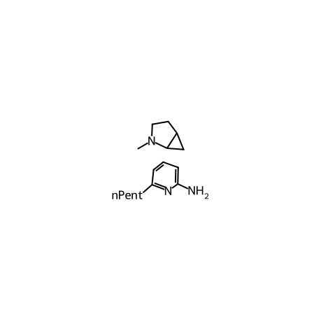 CCCCCc1cccc(N)n1.CN1CCC2CC21